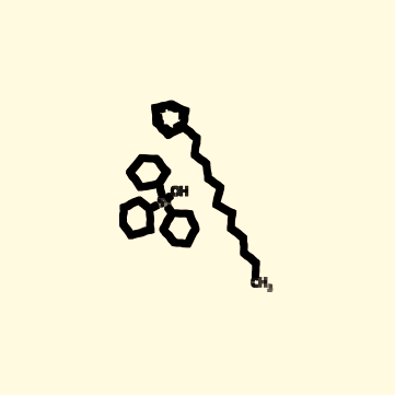 CCCCCCCCCCCCc1ccccc1.[OH][Sn]([CH]1CCCCC1)([CH]1CCCCC1)[CH]1CCCCC1